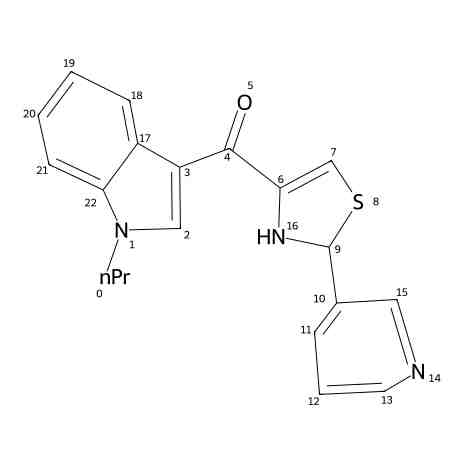 CCCn1cc(C(=O)C2=CSC(c3cccnc3)N2)c2ccccc21